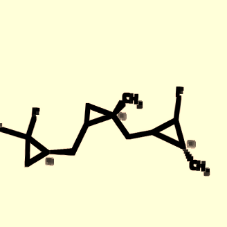 C[C@H]1C(F)C1C[C@@]1(C)CC1C[C@H]1CC1(F)F